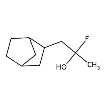 CC(O)(F)CC1CC2CCC1C2